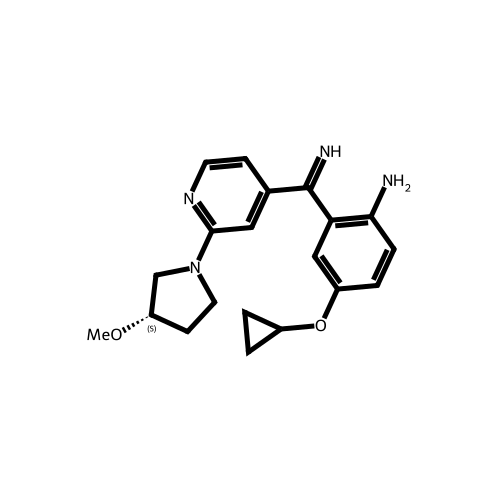 CO[C@H]1CCN(c2cc(C(=N)c3cc(OC4CC4)ccc3N)ccn2)C1